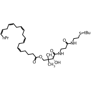 CCC/C=C\C/C=C\C/C=C\C/C=C\C/C=C\CCCC(=O)OCC(C)(C)[C@@H](O)C(=O)NCCC(=O)NCCSC(C)(C)C